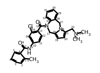 Cc1ccccc1C(=O)Nc1ccc(C(=O)N2Cc3ccc(CN(C)C)n3Cc3ccccc32)c(Cl)c1